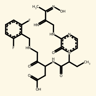 CCC(C(=O)NC(CC(=O)O)C(=O)CNCc1c(F)cccc1F)n1ccnc(NCC(=N)/C(C)=N\O)c1=O